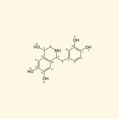 Oc1ccc(CC2NCC(O)c3cc(O)c(O)cc32)cc1O